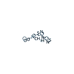 CC1C(c2cc3c(Nc4ccc5scnc5c4)ccnc3s2)=CCN1CCOC1CCCCO1